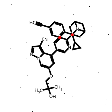 C#Cc1ccc(C(C2CC2)N2C3CC2CN(c2ccc(-c4cc(OCC(C)(C)O)cn5ncc(C#N)c45)cn2)C3)nc1